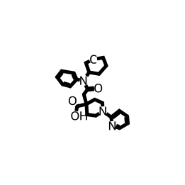 O=C(CC1(C(=O)O)CCN(c2ccccn2)CC1)N(c1ccccc1)C1CCCCC1